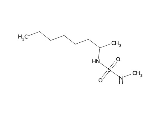 CCCCCCC(C)NS(=O)(=O)NC